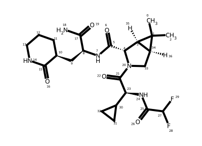 CC1(C)[C@@H]2[C@@H](C(=O)N[C@@H](C[C@@H]3CCCNC3=O)C(N)=O)N(C(=O)[C@@H](NC(=O)C(F)F)C3CC3)C[C@@H]21